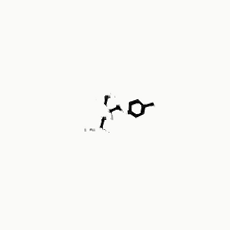 CC[C@H](C)[C@H](N)C(=O)N[C@@H](CC(C)N)C(=O)Nc1ccc(CO)cc1